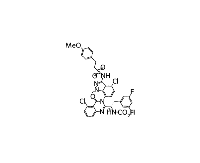 COc1ccc(CCS(=O)(=O)Nc2nn(C)c3c(-n4c([C@H](Cc5cc(F)cc(F)c5)NC(=O)O)nc5cccc(Cl)c5c4=O)ccc(Cl)c23)cc1